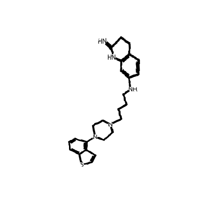 N=C1CCc2ccc(NCCCCN3CCN(c4cccc5sccc45)CC3)cc2N1